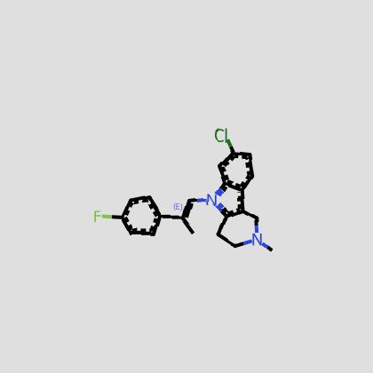 C/C(=C\n1c2c(c3ccc(Cl)cc31)CN(C)CC2)c1ccc(F)cc1